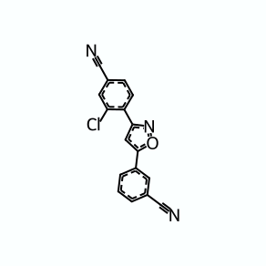 N#Cc1cccc(-c2cc(-c3ccc(C#N)cc3Cl)no2)c1